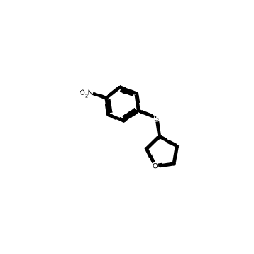 O=[N+]([O-])c1ccc(SC2CCOC2)cc1